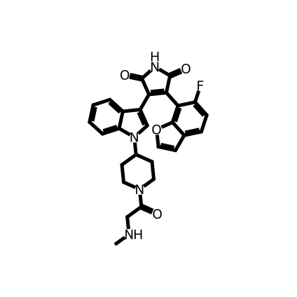 CNCC(=O)N1CCC(n2cc(C3=C(c4c(F)ccc5ccoc45)C(=O)NC3=O)c3ccccc32)CC1